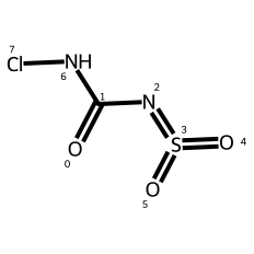 O=C(N=S(=O)=O)NCl